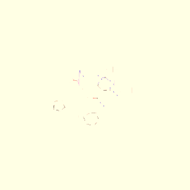 CNC(=O)OCCC(Oc1cccc(N2CCN(C)c3nc(C)ncc3C2=O)c1)c1cccs1